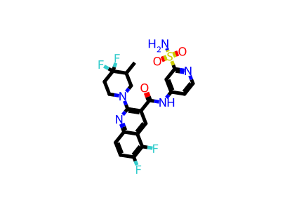 CC1CN(c2nc3ccc(F)c(F)c3cc2C(=O)Nc2ccnc(S(N)(=O)=O)c2)CCC1(F)F